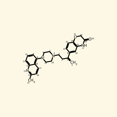 C=C(CCN1CCN(c2cccc3nc(C)ccc23)CC1)c1ccc2c(c1)NC(=O)CO2